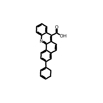 O=C(O)c1c2ccccc2nc2c1ccc1cc(C3=CC=CCC3)ccc12